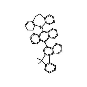 CC1(C)c2ccccc2-c2c1cc(-c1c3ccccc3c(N3C4=C(C=CCC4)CCc4ccccc43)c3ccccc13)c1ccccc21